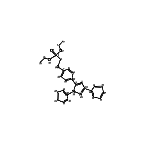 CCOP(=O)(COc1ccc(-c2cc(-c3ccccc3)nn2-c2ccccc2)cc1)OCC